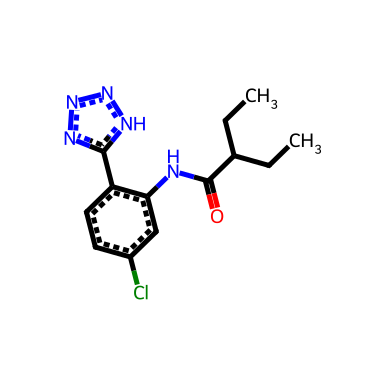 CCC(CC)C(=O)Nc1cc(Cl)ccc1-c1nnn[nH]1